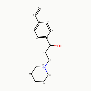 C=Cc1ccc(C(O)CCN2CCCCC2)cc1